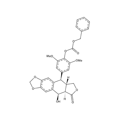 COc1cc([C@@H]2c3cc4c(cc3[C@H](O)[C@@H]3C(=O)OC[C@@H]23)OCO4)cc(OC)c1OC(=O)OCc1ccccc1